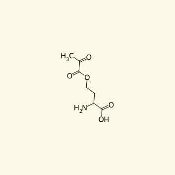 CC(=O)C(=O)OCCC(N)C(=O)O